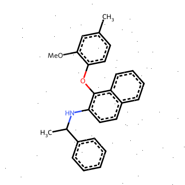 COc1cc(C)ccc1Oc1c(NC(C)c2ccccc2)ccc2ccccc12